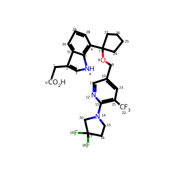 O=C(O)Cc1c[nH]c2c(C3(OCc4cnc(N5CCC(F)(F)C5)c(C(F)(F)F)c4)CCCC3)cccc12